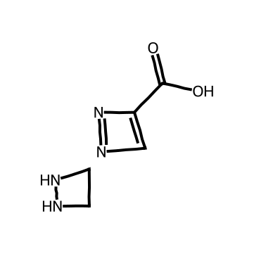 C1CNN1.O=C(O)C1=CN=N1